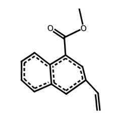 C=Cc1cc(C(=O)OC)c2ccccc2c1